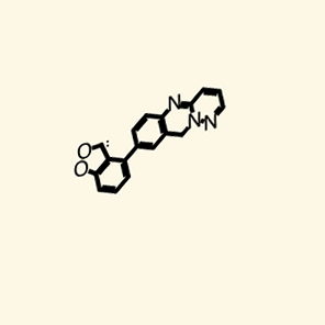 [C]1OOc2cccc(-c3ccc4c(c3)CN3N=CC=CC3=N4)c21